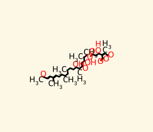 CCC(/C=C/C(C)=O)=C\CC[C@H](C)C[C@@H](C)CC[C@H](O)[C@H](C)C(=O)C[C@@H](O)[C@H](C)[C@@H](C)OC(=O)C[C@@H](O)C1=C(C)C(=O)OC1=O